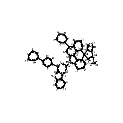 c1ccc(-c2ccc(-c3nc(-n4c5cccc6c5c5c7c(cccc7c(-c7ccccc7)cc54)C64c5ccccc5-c5ccccc54)nc4c3sc3ccccc34)cc2)cc1